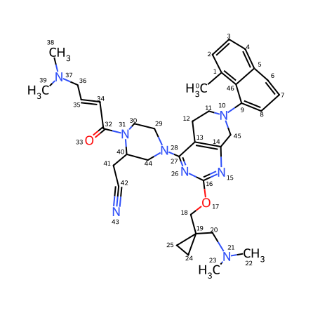 Cc1cccc2cccc(N3CCc4c(nc(OCC5(CN(C)C)CC5)nc4N4CCN(C(=O)/C=C/CN(C)C)C(CC#N)C4)C3)c12